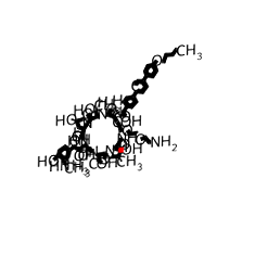 CCCCCOc1ccc(-c2ccc(-c3ccc(C(=O)N[C@H]4C[C@@H](O)[C@@H](OCCOCCN)NC(=O)[C@@H]5[C@@H](O)[C@@H](C)CN5C(=O)[C@H]([C@@H](C)O)NC(=O)[C@H]([C@H](O)[C@@H](O)c5ccc(O)c(NC)c5)NC(=O)[C@@H]5C[C@@H](O)CN5C(=O)[C@H]([C@@H](C)O)NC4=O)cc3)cc2)cc1